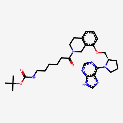 CC(C)(C)OC(=O)NCCCCCC(=O)N1CCc2cccc(OC[C@H]3CCCN3c3ncnc4[nH]cnc34)c2C1